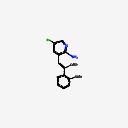 COC(=Cc1cc(Br)cnc1N)c1ccccc1OC